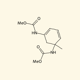 COC(=O)NC1=CC=CC(C)(NC(=O)OC)C1